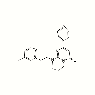 Cc1cccc(CCN2CCCn3c2nc(-c2ccncc2)cc3=O)c1